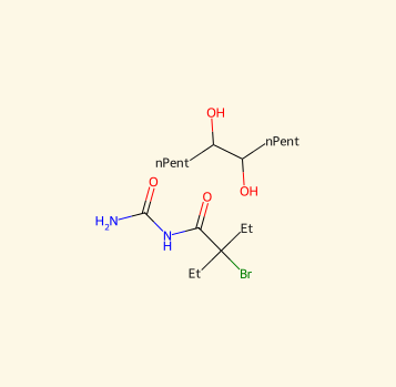 CCC(Br)(CC)C(=O)NC(N)=O.CCCCCC(O)C(O)CCCCC